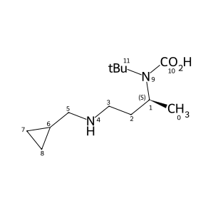 C[C@@H](CCNCC1CC1)N(C(=O)O)C(C)(C)C